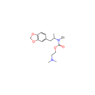 CCN(C(=O)OCCN(C)C)C(C)Cc1ccc2c(c1)OCO2